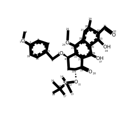 COc1ccc(CO[C@@H]2C[C@@H](O[Si](C)(C)C(C)(C)C)C(=O)c3c2c(OC)c2cc(C)c(C=O)c(O)c2c3O)cc1